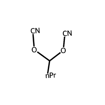 CCCC(OC#N)OC#N